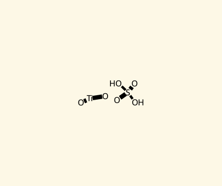 O=S(=O)(O)O.[O]=[Ti]=[O]